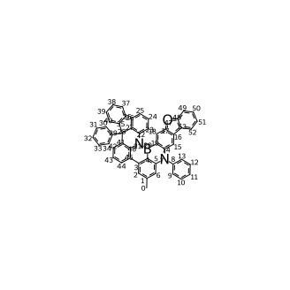 Cc1cc2c3c(c1)N(c1ccccc1)c1cc4c(cc1B3N1c3ccccc3C(c3ccccc3)(c3ccccc3)c3cccc-2c31)oc1ccccc14